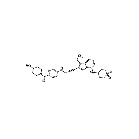 O=C(c1ccc(NCC#Cc2cc3c(NC4CCS(=O)(=O)CC4)cccc3n2CC(F)(F)F)cn1)N1CCC(O)CC1